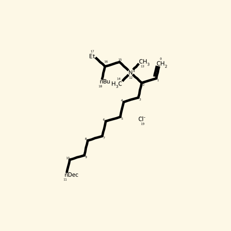 C=CC(CCCCCCCCCCCCCCCCCC)[N+](C)(C)CC(CC)CCCC.[Cl-]